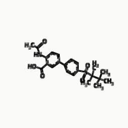 CC(=O)Nc1ccc(-c2ccc(S(=O)(=O)C(C)(C)C(C)(C)C)cc2)cc1C(=O)O